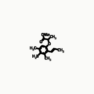 Bc1c(C)cc(OC(C)C(=O)OC)c(/C=C/C)c1C